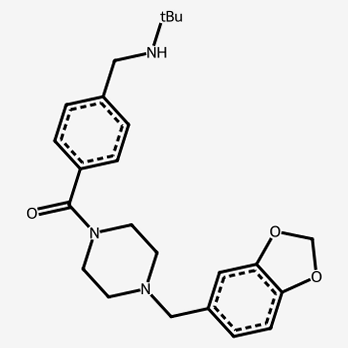 CC(C)(C)NCc1ccc(C(=O)N2CCN(Cc3ccc4c(c3)OCO4)CC2)cc1